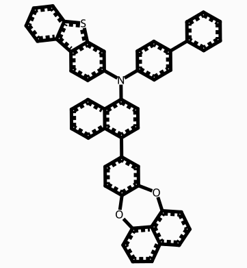 c1ccc(-c2ccc(N(c3ccc4c(c3)sc3ccccc34)c3ccc(-c4ccc5c(c4)Oc4cccc6cccc(c46)O5)c4ccccc34)cc2)cc1